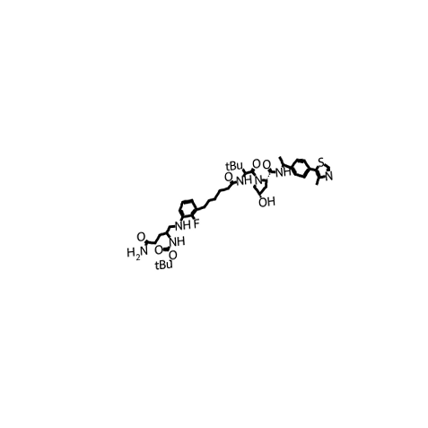 Cc1ncsc1-c1ccc(C(C)NC(=O)[C@@H]2C[C@@H](O)CN2C(=O)C(NC(=O)CCCCCc2cccc(NCC(CCC(N)=O)NC(=O)OC(C)(C)C)c2F)C(C)(C)C)cc1